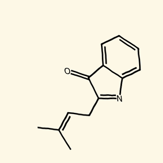 CC(C)=CCC1=Nc2ccccc2C1=O